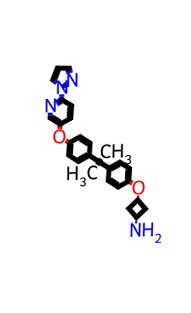 CC(C)(c1ccc(Oc2ccc(-n3cccn3)nc2)cc1)c1ccc(O[C@H]2C[C@@H](N)C2)cc1